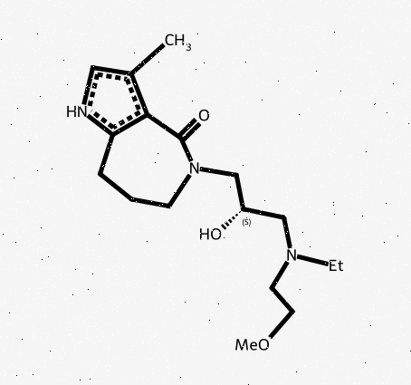 CCN(CCOC)C[C@H](O)CN1CCCc2[nH]cc(C)c2C1=O